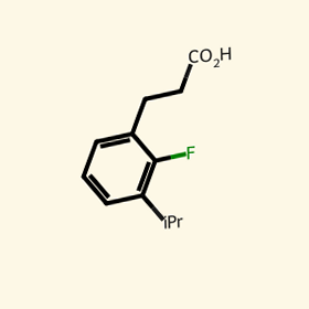 CC(C)c1cccc(CCC(=O)O)c1F